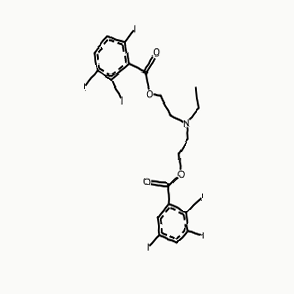 CCN(CCOC(=O)c1cc(I)cc(I)c1I)CCOC(=O)c1c(I)ccc(I)c1I